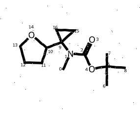 CN(C(=O)OC(C)(C)C)C1(C2CCCO2)CC1